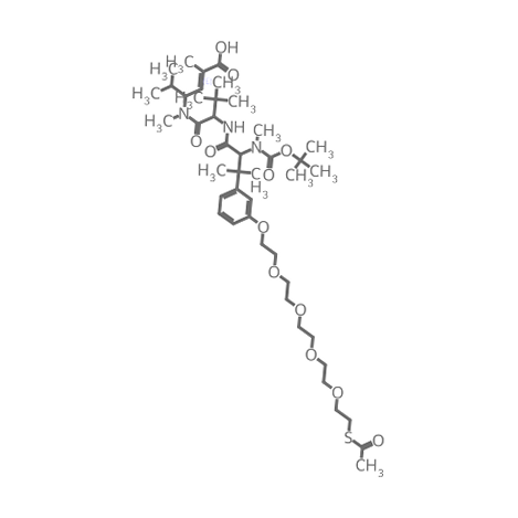 CC(=O)SCCOCCOCCOCCOCCOc1cccc(C(C)(C)C(C(=O)NC(C(=O)N(C)C(/C=C(\C)C(=O)O)C(C)C)C(C)(C)C)N(C)C(=O)OC(C)(C)C)c1